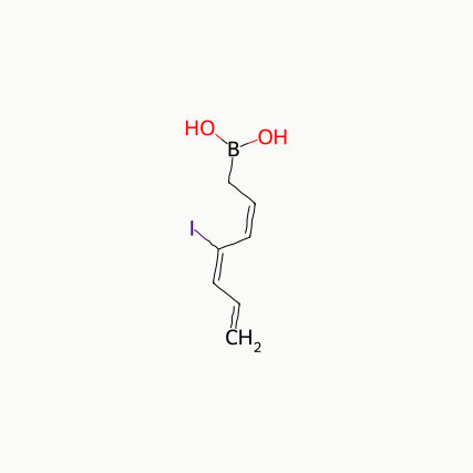 C=C/C=C(I)\C=C/CB(O)O